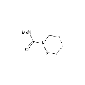 CNC(=O)N1CCCCS1